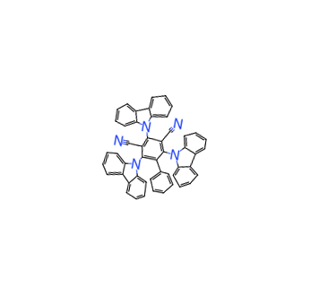 N#Cc1c(-n2c3ccccc3c3ccccc32)c(C#N)c(-n2c3ccccc3c3ccccc32)c(-c2ccccc2)c1-n1c2ccccc2c2ccccc21